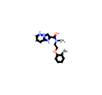 CN(CCOc1ccccc1C(C)(C)C)C(=O)c1cn2ncccc2n1